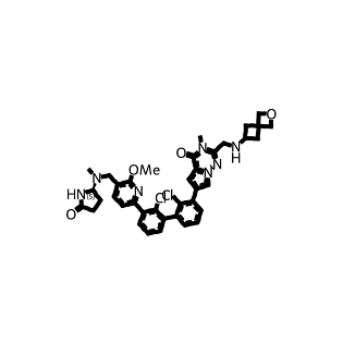 COc1nc(-c2cccc(-c3cccc(-c4cc5c(=O)n(C)c(CNC6CC7(COC7)C6)nn5c4)c3Cl)c2Cl)ccc1CN(C)[C@H]1CCC(=O)N1